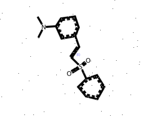 CN(C)c1cccc(/C=C/S(=O)(=O)c2ccccc2)c1